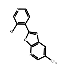 FC(F)(F)c1cnc2oc(-c3ccncc3Cl)nc2c1